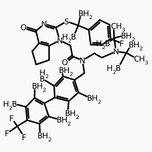 Bc1c(B)c(-c2c(B)c(B)c(C(F)(F)F)c(B)c2B)c(B)c(B)c1CN(CCN(C(B)(B)C)C(B)(B)C)C(=O)Cn1c(SC(B)(B)c2ccc(F)cc2)nc(=O)c2c1CCC2